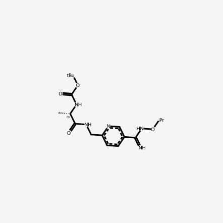 CC(C)ONC(=N)c1ccc(CNC(=O)[C@H](C)NC(=O)OC(C)(C)C)nc1